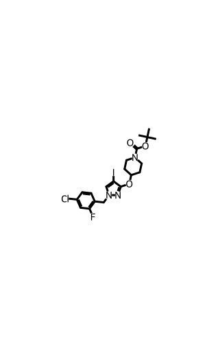 CC(C)(C)OC(=O)N1CCC(Oc2nn(Cc3ccc(Cl)cc3F)cc2I)CC1